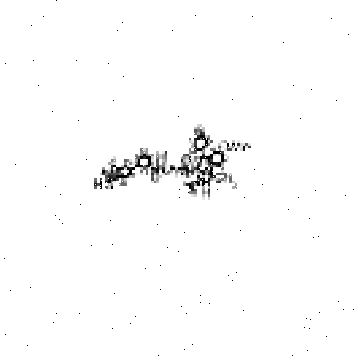 COc1ccc2c(c1)C(c1ccc(Cl)cc1)=N[C@@H](CC(=O)NCCNC(=O)c1cccc(-c3ccc4c(c3)COB4O)c1)C1N(C3CC3)NC(C)N21